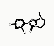 CN1CCCn2c1nn(-c1ccc(Cl)cc1Cl)c2=O